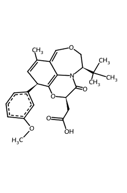 COc1cccc([C@H]2C=C(C)C3=COC[C@@H](C(C)(C)C)N4C(=O)[C@@H](CC(=O)O)OC2=C34)c1